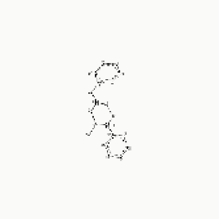 CC1CN(Cc2ccccc2)CCN1c1ccccc1